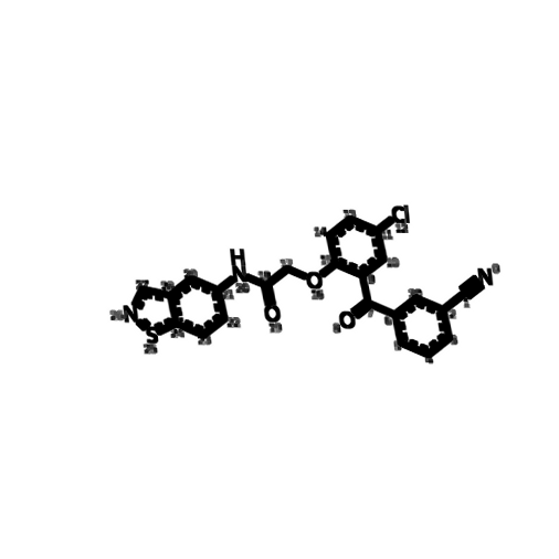 N#Cc1cccc(C(=O)c2cc(Cl)ccc2OCC(=O)Nc2ccc3sncc3c2)c1